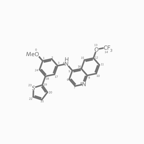 COc1cc(Nc2ccnc3ccc(OC(F)(F)F)cc23)cc(-c2cccs2)c1